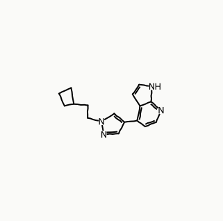 c1cc(-c2cnn(CCC3CCC3)c2)c2cc[nH]c2n1